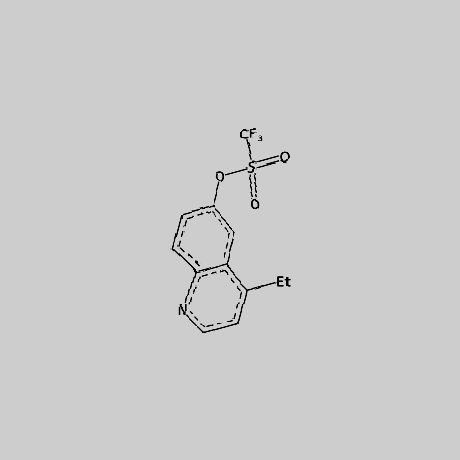 CCc1ccnc2ccc(OS(=O)(=O)C(F)(F)F)cc12